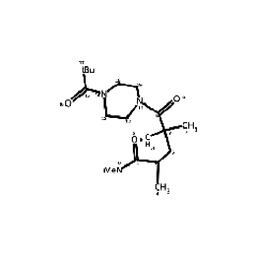 CNC(=O)C(C)CC(C)(C)C(=O)N1CCN(C(=O)C(C)(C)C)CC1